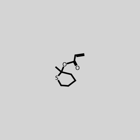 C=CC(=O)OC1(C)CCCCS1